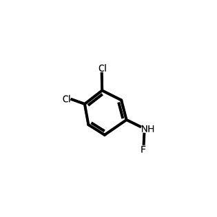 FNc1ccc(Cl)c(Cl)c1